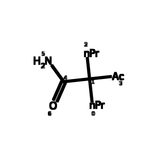 CCCC(CCC)(C(C)=O)C(N)=O